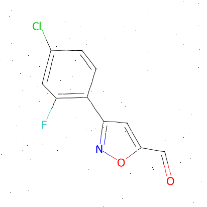 O=Cc1cc(-c2ccc(Cl)cc2F)no1